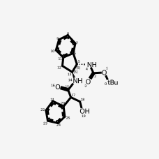 CC(C)(C)OC(=O)N[C@H]1c2ccccc2C[C@@H]1NC(=O)C(CO)c1ccccc1